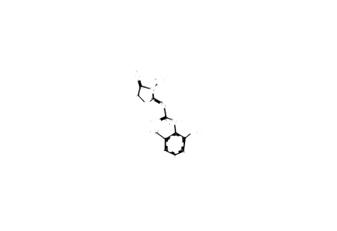 Cc1cccc(Cl)c1NC(=O)N=C1SCC(=O)N1C